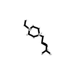 CCN1CCN(C/C=C/C(C)C)CC1